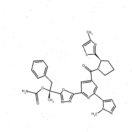 Cc1csc([C@H]2CCCN2C(=O)c2cc(-c3nnc([C@@](C)(Cc4ccccc4)OC(N)=O)o3)nc(-c3ccnn3C)c2)n1